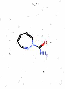 NC(=O)N1C=CC=CC=N1